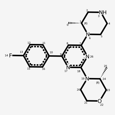 C[C@@H]1CNCCN1c1cc(-c2ccc(F)cc2)nc(N2CCOC[C@H]2C)n1